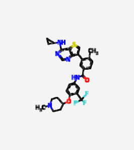 Cc1ccc(C(=O)Nc2ccc(OC3CCN(C)CC3)c(C(F)(F)F)c2)cc1-c1csc2c(NC3CC3)ncnc12